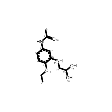 CCOc1ccc(NC(C)=O)cc1NCC(O)O